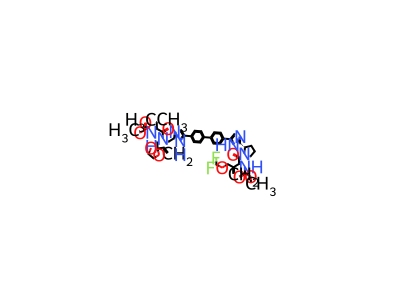 C=CC1(CN(Cc2ncc(-c3ccc(-c4ccc(-c5cnc([C@@H]6CCCN6C(=O)[C@@H](NC(=O)OC)C(=C)COC(F)F)[nH]5)cc4)cc3)[nH]2)C(=O)[C@@H](NC(=O)OC)C(C)C)OCCO1